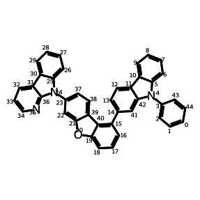 c1ccc(-n2c3ccccc3c3ccc(-c4cccc5oc6cc(-n7c8ccccc8c8cccnc87)ccc6c45)cc32)cc1